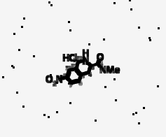 CNC(=O)[C@H]1Cc2ccc([N+](=O)[O-])cc2CN1.Cl